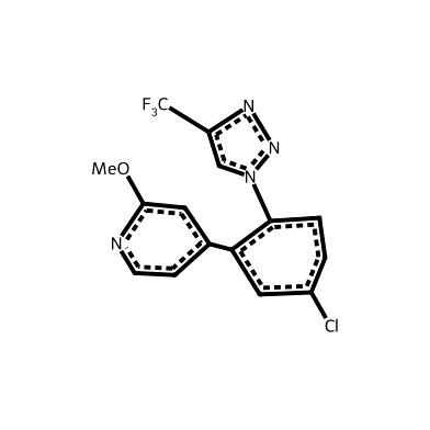 COc1cc(-c2cc(Cl)ccc2-n2cc(C(F)(F)F)nn2)ccn1